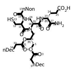 CCCCCCCCCCCC(=O)OC[C@@H](CN(C(=O)C(CS)NC(=O)CCCCCCCCC)[C@@H](C)C(=O)N[C@H](CCC(=O)O)C(N)=O)OC(=O)CCCCCCCCCCC